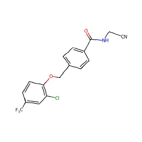 N#CCNC(=O)c1ccc(COc2ccc(C(F)(F)F)cc2Cl)cc1